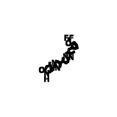 CC1=C(Cc2ccccc2OC(F)F)CN2C=C(c3cnc(N4CCNC(=O)CC4C)nc3)C=CC2=N1